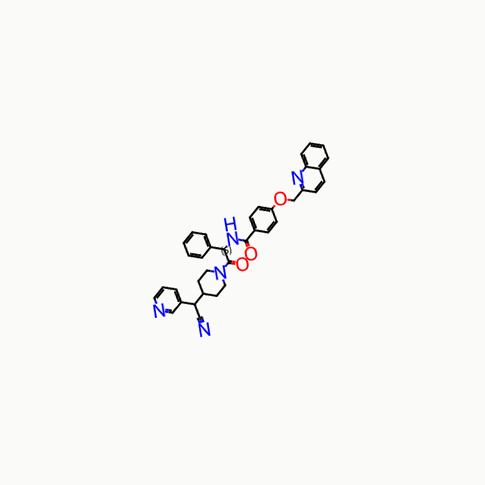 N#CC(c1cccnc1)C1CCN(C(=O)[C@@H](NC(=O)c2ccc(OCc3ccc4ccccc4n3)cc2)c2ccccc2)CC1